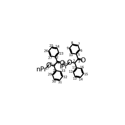 CC(C)OC(C(=O)c1ccccc1)c1ccccc1.CCCOC(C(=O)c1ccccc1)c1ccccc1